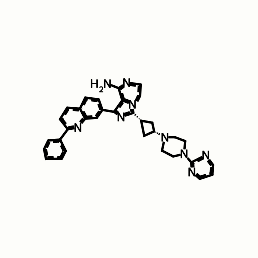 Nc1nccn2c1c(-c1ccc3ccc(-c4ccccc4)nc3c1)nc2[C@H]1C[C@@H](N2CCN(c3ncccn3)CC2)C1